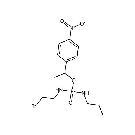 CCCNP(=O)(NCCBr)OC(C)c1ccc([N+](=O)[O-])cc1